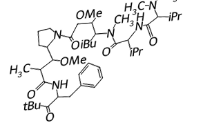 CCC(C)C(C(CC(=O)N1CCCC1C(OC)C(C)C(=O)NC(Cc1ccccc1)C(=O)C(C)(C)C)OC)N(C)C(=O)C(NC(=O)C(C(C)C)N(C)C)C(C)C